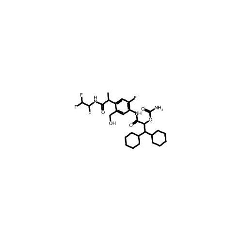 CC(C(=O)NC(F)C(F)F)c1cc(F)c(NC(=O)C(OC(N)=O)C(C2CCCCC2)C2CCCCC2)cc1CO